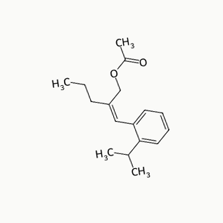 CCCC(=Cc1ccccc1C(C)C)COC(C)=O